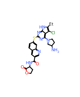 CCc1[nH]c2nc(Sc3ccc4cc(C(=O)NC5CCOC5=O)cnc4c3)nc(N3CCC(N)C3)c2c1Cl